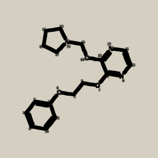 c1ccc(OCCOc2nccnc2OCN2CCCC2)cc1